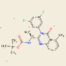 Cc1cccc2nc([C@H](C)NC(=O)OC(C)(C)C)n(-c3cc(F)cc(F)c3)c(=O)c12